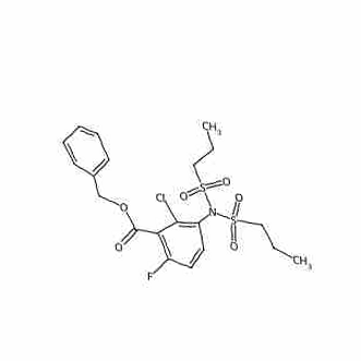 CCCS(=O)(=O)N(c1ccc(F)c(C(=O)OCc2ccccc2)c1Cl)S(=O)(=O)CCC